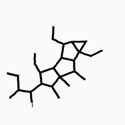 CCC(C)C(I)C1C(CC)C2C3C(CC)C4CC4(CC)C3C(C)C2(C)C1C